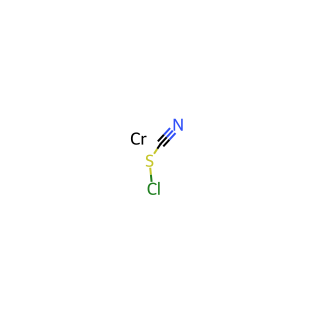 N#CSCl.[Cr]